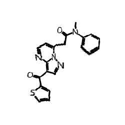 CN(C(=O)Cc1ccnc2c(C(=O)c3cccs3)cnn12)c1ccccc1